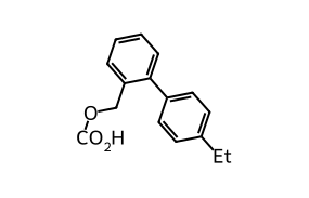 CCc1ccc(-c2ccccc2COC(=O)O)cc1